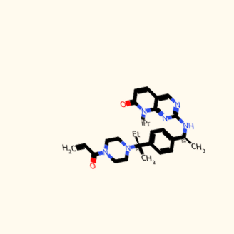 C=CC(=O)N1CCN([C@](C)(CC)c2ccc([C@H](C)Nc3ncc4ccc(=O)n(C(C)C)c4n3)cc2)CC1